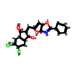 O=C1C(=Cc2cc3oc(-c4ccccc4)nc3o2)C(=O)c2cc(Cl)c(Cl)cc21